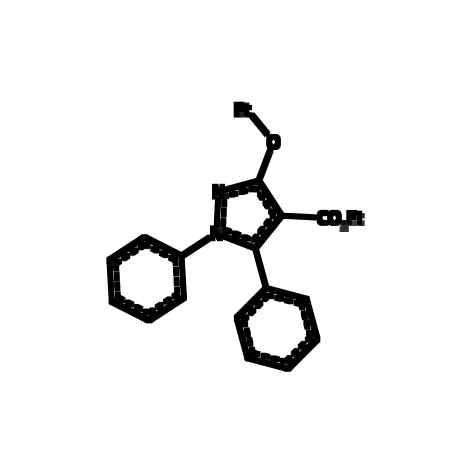 CCOC(=O)c1c(OCC)nn(-c2ccccc2)c1-c1ccccc1